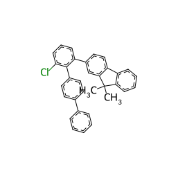 CC1(C)c2ccccc2-c2ccc(-c3cccc(Cl)c3-c3ccc(-c4ccccc4)cc3)cc21